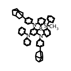 C[Si]1(c2ccccc2)c2cccc3c2B2c4c(cc(N(c5ccccc5)c5ccccc5)cc4N(c4ccc(C56CC7CC(CC(C7)C5)C6)cc4)c4cccc1c42)N3c1ccc(C23CC4CC(CC(C4)C2)C3)cc1